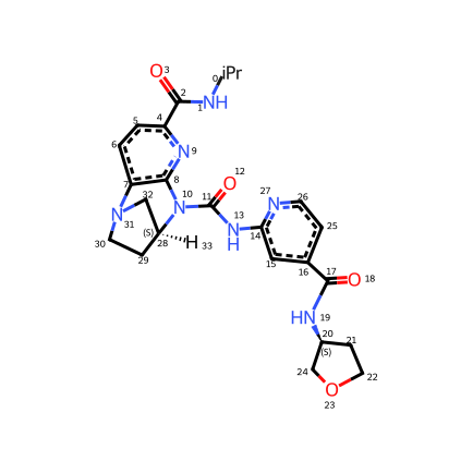 CC(C)NC(=O)c1ccc2c(n1)N(C(=O)Nc1cc(C(=O)N[C@H]3CCOC3)ccn1)[C@H]1CCN2C1